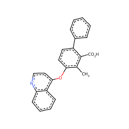 Cc1c(Oc2ccnc3ccccc23)ccc(-c2ccccc2)c1C(=O)O